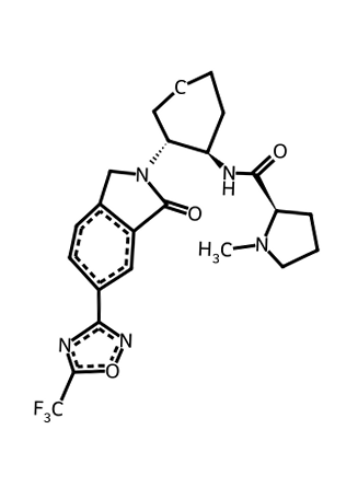 CN1CCC[C@@H]1C(=O)N[C@@H]1CCCC[C@H]1N1Cc2ccc(-c3noc(C(F)(F)F)n3)cc2C1=O